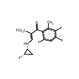 CCOC(=O)C(=CN[C@@H]1C[C@@H]1F)C(=O)c1c(F)cc(F)c(F)c1C